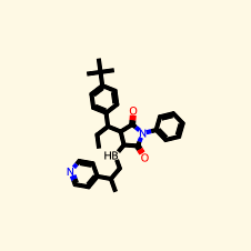 CCC(c1ccc(C(C)(C)C)cc1)C1C(=O)N(c2ccccc2)C(=O)C1BCC(C)c1ccncc1